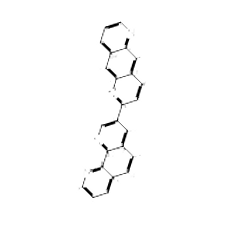 c1cnc2cc3ccc(-c4cnc5c(ccc6cccnc65)c4)nc3cc2c1